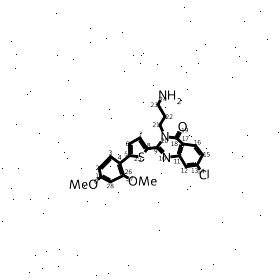 COc1ccc(-c2ccc(-c3nc4cc(Cl)ccc4c(=O)n3CCCN)s2)c(OC)c1